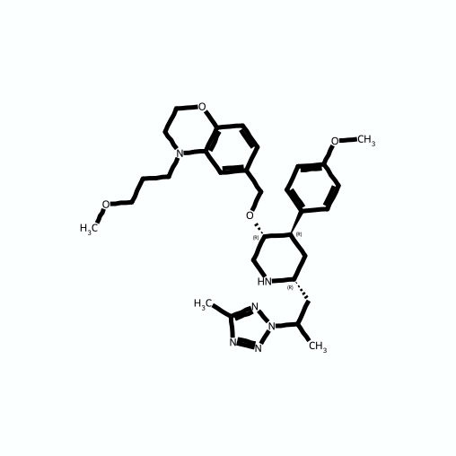 COCCCN1CCOc2ccc(CO[C@H]3CN[C@@H](CC(C)n4nnc(C)n4)C[C@@H]3c3ccc(OC)cc3)cc21